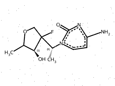 CC1OCC(F)([C@@H](C)n2ccc(N)nc2=O)[C@H]1O